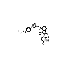 O=C1CCC(N2C(=O)c3cccc(OCc4cn(-c5ccc(OC(F)(F)F)cc5)nn4)c3C2=O)C(=O)N1